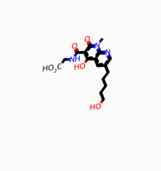 Cn1c(=O)c(C(=O)NCC(=O)O)c(O)c2cc(CCCCCO)cnc21